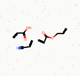 C=CC#N.C=CC(=O)O.C=CCOC(=O)C=C